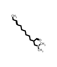 CC/C=C/CCCCCCC(C=O)CN(C)C